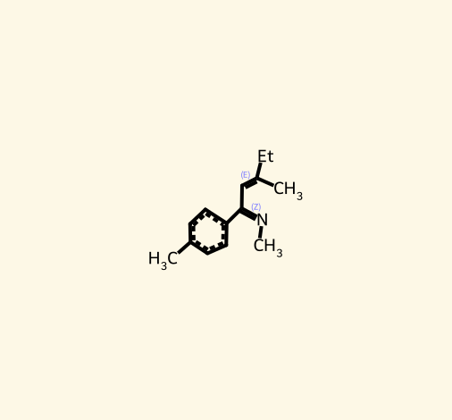 CC/C(C)=C/C(=N/C)c1ccc(C)cc1